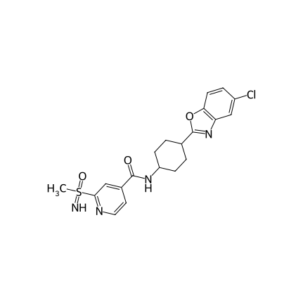 CS(=N)(=O)c1cc(C(=O)NC2CCC(c3nc4cc(Cl)ccc4o3)CC2)ccn1